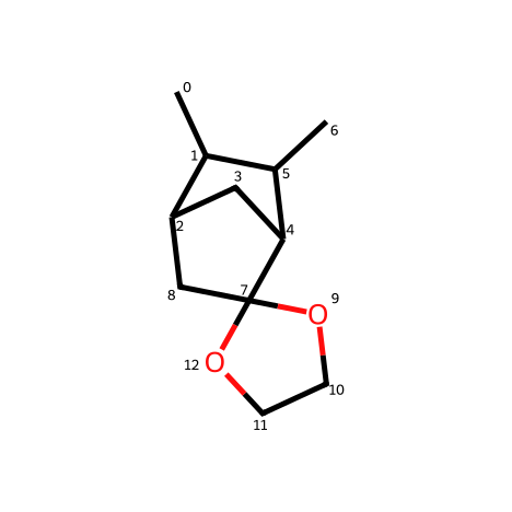 CC1C2CC(C1C)C1(C2)OCCO1